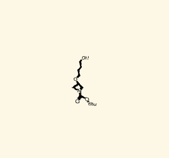 CC(C)(C)OC(=O)N1CC(OCCCCO)C1